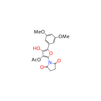 COc1cc(OC)cc(-c2oc(N3C(=O)CCC3=O)c(OC(C)=O)c2O)c1